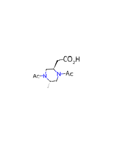 CC(=O)N1C[C@H](C)N(C(C)=O)C[C@H]1CC(=O)O